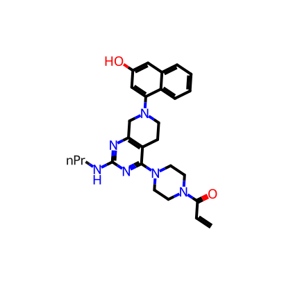 C=CC(=O)N1CCN(c2nc(NCCC)nc3c2CCN(c2cc(O)cc4ccccc24)C3)CC1